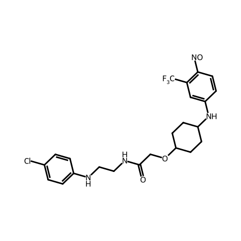 O=Nc1ccc(NC2CCC(OCC(=O)NCCNc3ccc(Cl)cc3)CC2)cc1C(F)(F)F